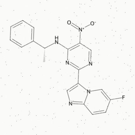 C[C@@H](Nc1nc(-c2cnc3ccc(F)cn23)ncc1[N+](=O)[O-])c1ccccc1